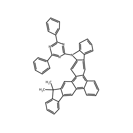 CC1(C)c2ccccc2-c2cc3c4ccccc4c4cc5c6ccccc6n(-c6nc(-c7ccccc7)nc(-c7ccccc7)n6)c5cc4c3cc21